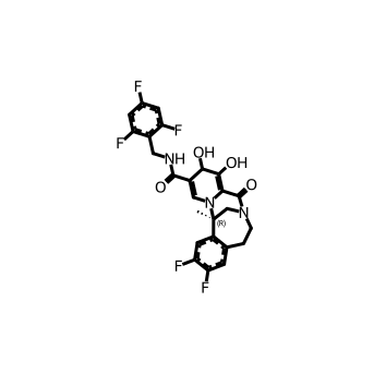 C[C@]12CN(CCc3cc(F)c(F)cc31)C(=O)C1=C(O)C(O)C(C(=O)NCc3c(F)cc(F)cc3F)=CN12